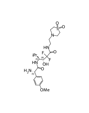 COc1ccc([C@H](N)C(=O)N[C@@H](C(C)C)[C@@H](O)C(F)(F)C(=O)NCCN2CCS(=O)(=O)CC2)cc1